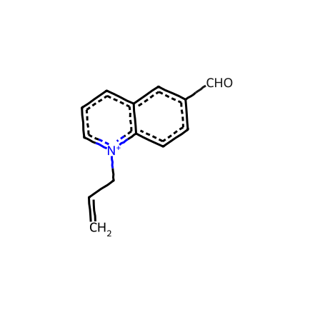 C=CC[n+]1cccc2cc(C=O)ccc21